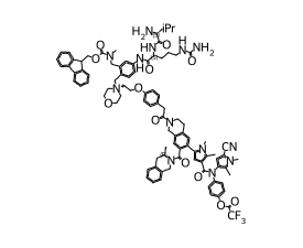 Cc1c(N(C(=O)c2cc(-c3cc4c(cc3C(=O)N3Cc5ccccc5C[C@H]3C)CN(C(=O)Cc3ccc(OCC[N+]5(Cc6ccc(NC(=O)[C@H](CCCNC(N)=O)NC(=O)[C@@H](N)C(C)C)cc6CN(C)C(=O)OCC6c7ccccc7-c7ccccc76)CCOCC5)cc3)CC4)n(C)c2C)c2ccc(OC(=O)C(F)(F)F)cc2)cc(C#N)n1C